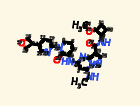 CNc1cc(Nc2cccn(-c3ccc(C4COC4)cn3)c2=O)nc2c(C(=O)N[C@@H]3CC[C@H]3OC)cnn12